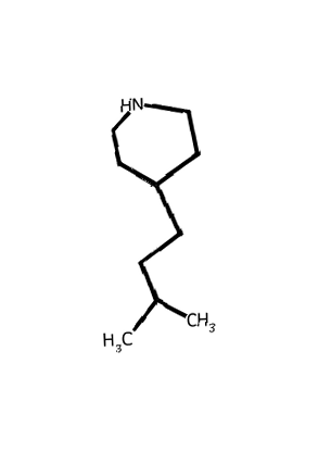 CC(C)CC[C]1CCNCC1